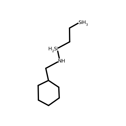 [SiH3]CC[SiH2]NCC1CCCCC1